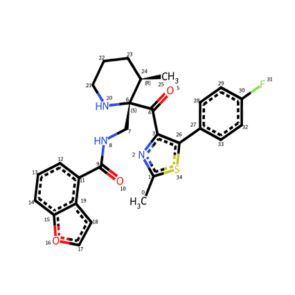 Cc1nc(C(=O)[C@]2(CNC(=O)c3cccc4occc34)NCCC[C@H]2C)c(-c2ccc(F)cc2)s1